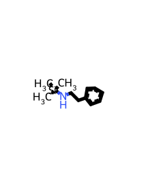 C[Si](C)(C)NCCc1ccccc1